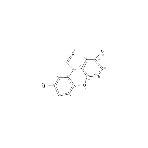 O=CC1c2cc(Cl)ccc2Oc2ccc(Br)cc21